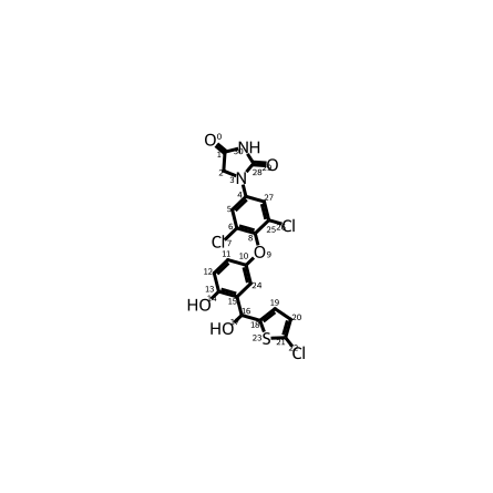 O=C1CN(c2cc(Cl)c(Oc3ccc(O)c(C(O)c4ccc(Cl)s4)c3)c(Cl)c2)C(=O)N1